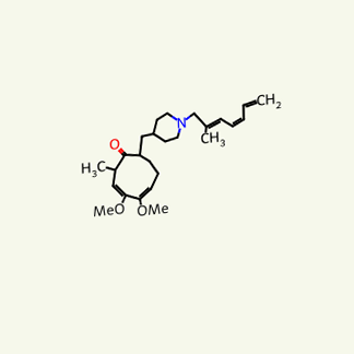 C=C/C=C\C=C(/C)CN1CCC(CC2CC/C=C(OC)\C(OC)=C/C(C)C2=O)CC1